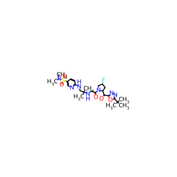 CN(C)S(=O)(=O)c1ccc(NCC(C)(C)NCC(=O)N2C[C@@H](F)CC2C(=O)c2nnc(C(C)(C)C)o2)nc1